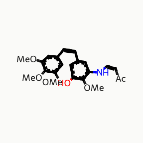 COc1cc(/C=C\c2cc(O)c(OC)c(N/C=C\C(C)=O)c2)cc(OC)c1OC